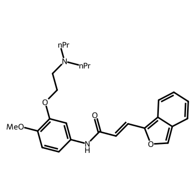 CCCN(CCC)CCOc1cc(NC(=O)C=Cc2occ3ccccc23)ccc1OC